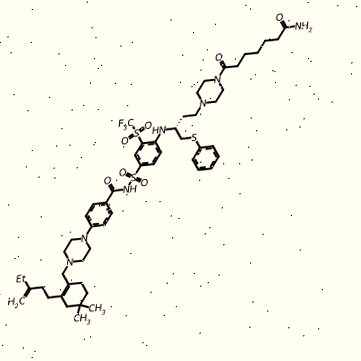 C=C(CC)CCC1=C(CN2CCN(c3ccc(C(=O)NS(=O)(=O)c4ccc(N[C@H](CCN5CCN(C(=O)CCCCCC(N)=O)CC5)CSc5ccccc5)c(S(=O)(=O)C(F)(F)F)c4)cc3)CC2)CCC(C)(C)C1